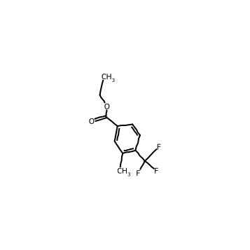 CCOC(=O)c1ccc(C(F)(F)F)c(C)c1